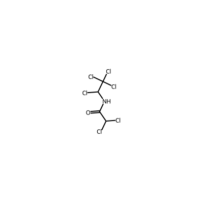 O=C(NC(Cl)C(Cl)(Cl)Cl)C(Cl)Cl